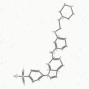 CS(=O)(=O)c1ccc(-n2ccc3cnc(Nc4cccc(OCCN5CCOCC5)c4)nc32)cc1